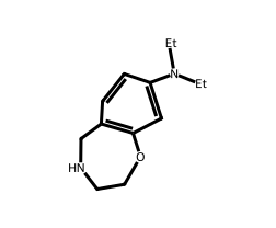 CCN(CC)c1ccc2c(c1)OCCNC2